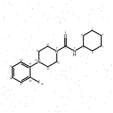 O=C(NC1CCCCC1)N1CCN(c2ccccc2F)CC1